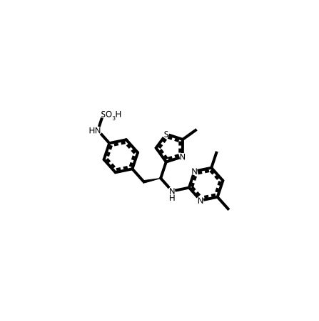 Cc1cc(C)nc(N[C@@H](Cc2ccc(NS(=O)(=O)O)cc2)c2csc(C)n2)n1